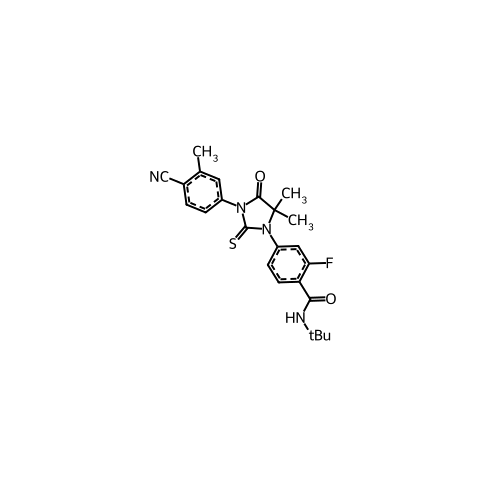 Cc1cc(N2C(=O)C(C)(C)N(c3ccc(C(=O)NC(C)(C)C)c(F)c3)C2=S)ccc1C#N